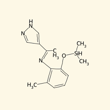 CC(=Nc1c(C)cccc1O[SiH](C)C)c1cn[nH]c1